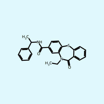 CCN1C(=O)c2ccccc2Sc2ccc(C(=O)NC(C)c3ccccc3)cc21